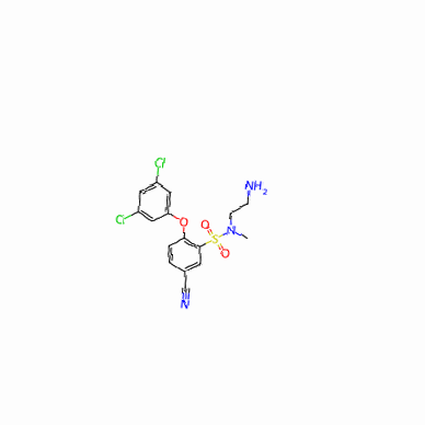 CN(CCN)S(=O)(=O)c1cc(C#N)ccc1Oc1cc(Cl)cc(Cl)c1